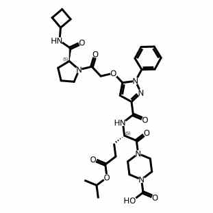 CC(C)OC(=O)CC[C@H](NC(=O)c1cc(OCC(=O)N2CCC[C@H]2C(=O)NC2CCC2)n(-c2ccccc2)n1)C(=O)N1CCN(C(=O)O)CC1